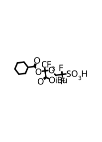 CC(C)COC(=O)C(OCC(F)(F)S(=O)(=O)O)(OC(=O)C1CCCCC1)C(F)(F)F